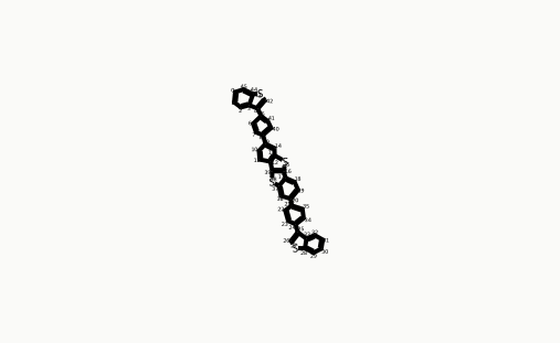 c1ccc2c(-c3ccc(-c4ccc5c(c4)sc4c6ccc(-c7ccc(-c8csc9ccccc89)cc7)cc6sc54)cc3)csc2c1